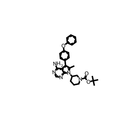 Cc1c(-c2ccc(Oc3ccccc3)cc2)c2c(N)ncnc2n1C1CCCN(C(=O)OC(C)(C)C)C1